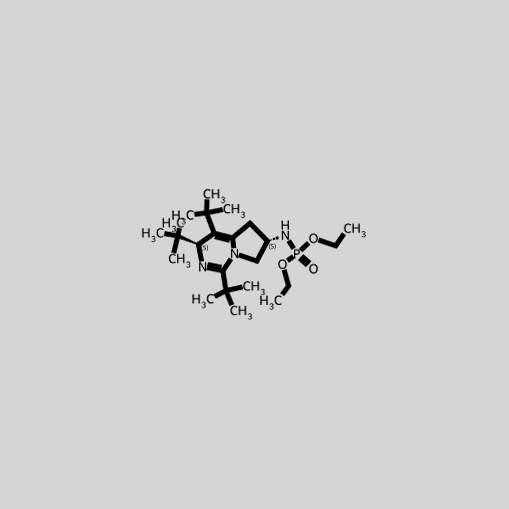 CCOP(=O)(N[C@H]1CC2=C(C(C)(C)C)[C@H](C(C)(C)C)N=C(C(C)(C)C)N2C1)OCC